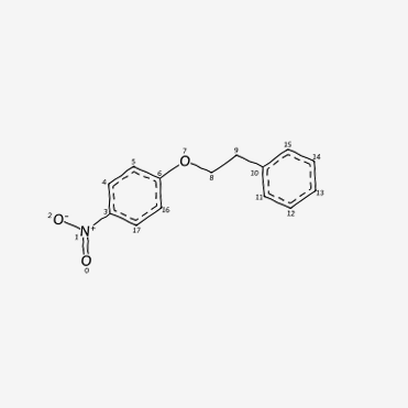 O=[N+]([O-])c1ccc(OCCc2ccccc2)cc1